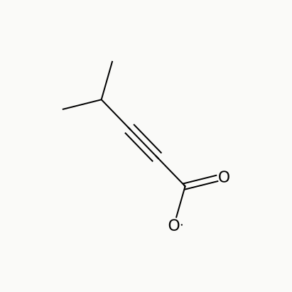 CC(C)C#CC([O])=O